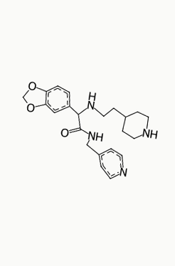 O=C(NCc1ccncc1)C(NCCC1CCNCC1)c1ccc2c(c1)OCO2